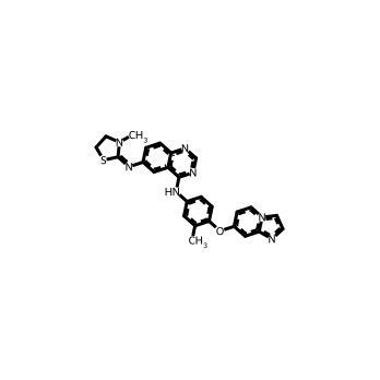 Cc1cc(Nc2ncnc3ccc(N=C4SCCN4C)cc23)ccc1Oc1ccn2ccnc2c1